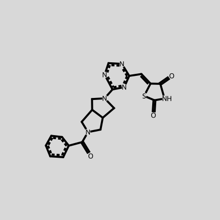 O=C1NC(=O)C(=Cc2ncnc(N3CC4CN(C(=O)c5ccccc5)CC4C3)n2)S1